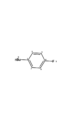 C[CH]CCc1ccc(F)cc1